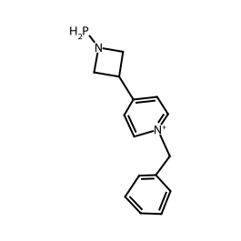 PN1CC(c2cc[n+](Cc3ccccc3)cc2)C1